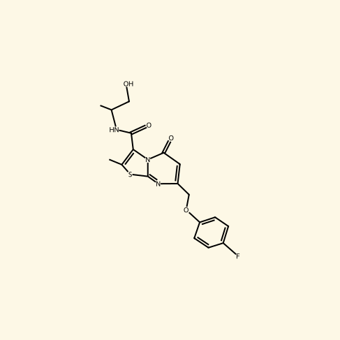 Cc1sc2nc(COc3ccc(F)cc3)cc(=O)n2c1C(=O)NC(C)CO